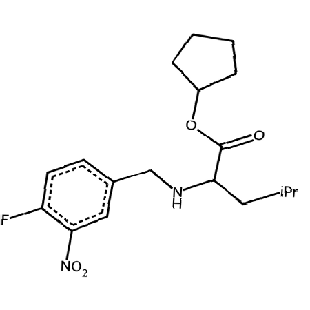 CC(C)CC(NCc1ccc(F)c([N+](=O)[O-])c1)C(=O)OC1CCCC1